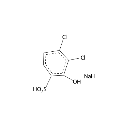 O=S(=O)(O)c1ccc(Cl)c(Cl)c1O.[NaH]